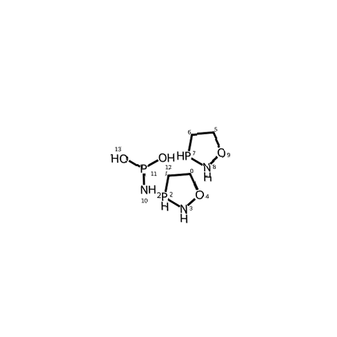 C1CPNO1.C1CPNO1.NP(O)O